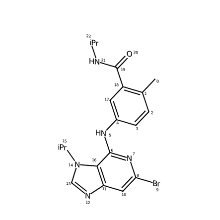 Cc1ccc(Nc2nc(Br)cc3ncn(C(C)C)c23)cc1C(=O)NC(C)C